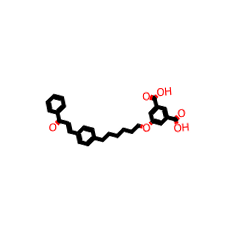 O=C(O)c1cc(OCCCCCCc2ccc(C=CC(=O)c3ccccc3)cc2)cc(C(=O)O)c1